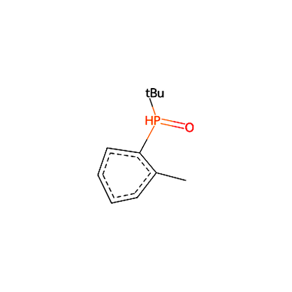 Cc1ccccc1[PH](=O)C(C)(C)C